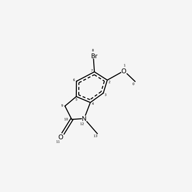 COc1cc2c(cc1Br)CC(=O)N2C